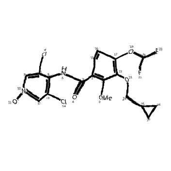 COc1c(C(=O)Nc2c(Cl)c[n+]([O-])cc2Cl)ccc(OC(F)F)c1OCC1CC1